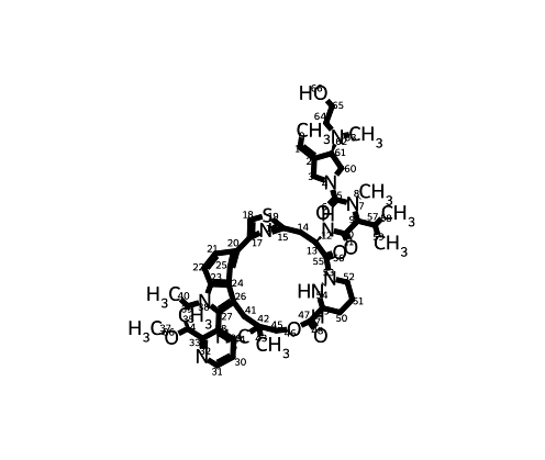 C/C=C1/CN(C(=O)N(C)C(C(=O)N[C@H]2Cc3nc(cs3)-c3ccc4c(c3)c(c(-c3cccnc3[C@H](C)OC)n4CC)CC(C)(C)COC(=O)[C@@H]3CCCN(N3)C2=O)C(C)C)C[C@@H]1N(C)CCO